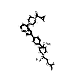 COC1(C2C=CC(c3cc4c(N5CCN(C(=O)C6CC6)CC5)ccnn4c3)=CC2)CCN([C@H](C)COC(F)F)CC1